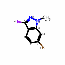 Cn1nc(I)c2ccc(Br)cc21